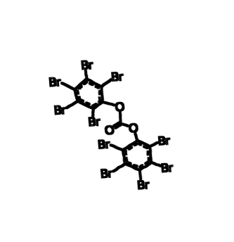 O=C(Oc1c(Br)c(Br)c(Br)c(Br)c1Br)Oc1c(Br)c(Br)c(Br)c(Br)c1Br